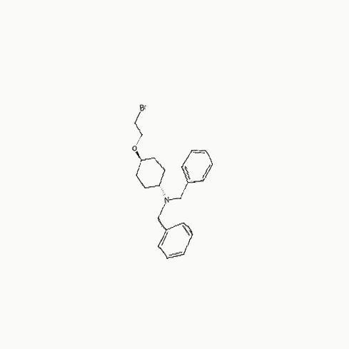 BrCCO[C@H]1CC[C@H](N(Cc2ccccc2)Cc2ccccc2)CC1